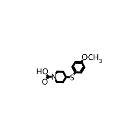 COc1ccc(SC2CCN(C(=O)O)CC2)cc1